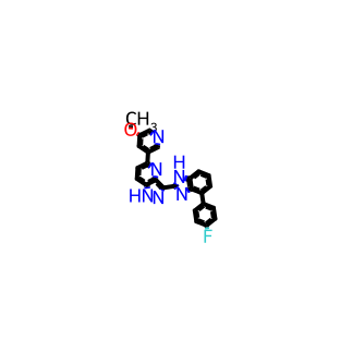 COc1cncc(-c2ccc3[nH]nc(-c4nc5c(-c6ccc(F)cc6)cccc5[nH]4)c3n2)c1